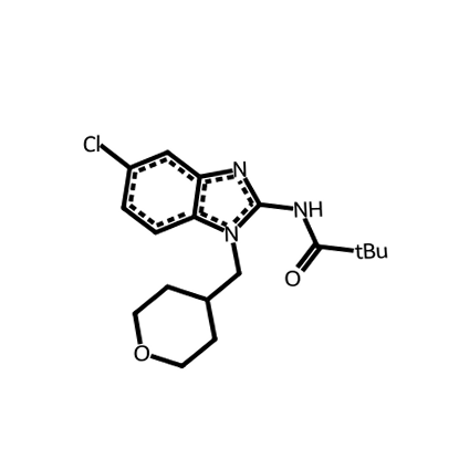 CC(C)(C)C(=O)Nc1nc2cc(Cl)ccc2n1CC1CCOCC1